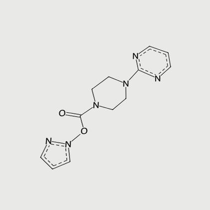 O=C(On1cccn1)N1CCN(c2ncccn2)CC1